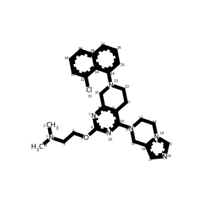 CN(C)CCOc1nc2c(c(N3CCn4cncc4C3)n1)CCN(c1cccc3cccc(Cl)c13)C2